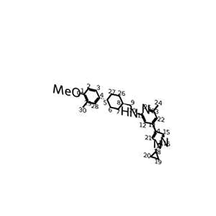 COc1ccc([C@H]2CC[C@H](CNc3cc(-c4cnn(C5CC5)c4)cc(C)n3)CC2)cc1C